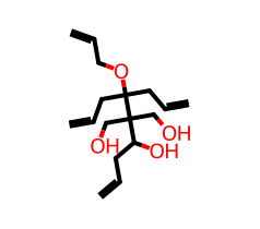 C=CCOC(CC=C)(CC=C)C(CO)(CO)C(O)CC=C